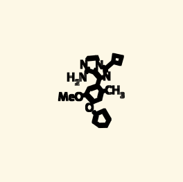 COc1cc(-c2nc(C3CCC3)n3ccnc(N)c23)c(C)cc1Oc1ccccc1